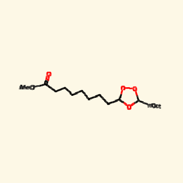 CCCCCCCCC1OOC(CCCCCCCC(=O)OC)O1